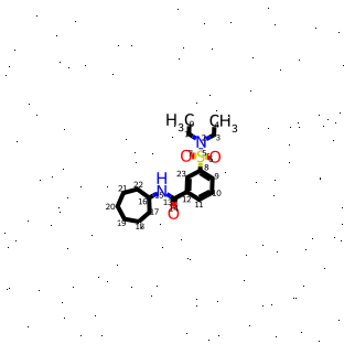 CCN(CC)S(=O)(=O)c1cccc(C(=O)NC2CCCCCC2)c1